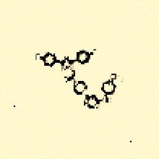 CN1CCC(Nc2cc(N3CCN(C(=O)Cn4nc(-c5ccc(F)cc5)nc4-c4ccc(F)cc4)CC3)ncn2)CC1